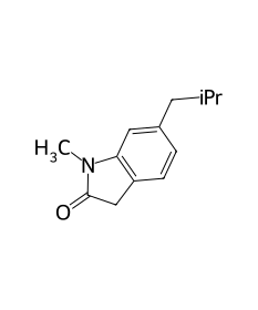 CC(C)Cc1ccc2c(c1)N(C)C(=O)C2